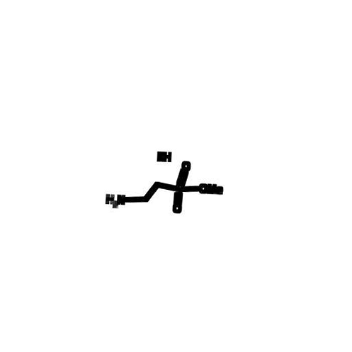 COS(=O)(=O)CCN.[KH]